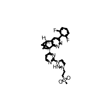 CC1(C)[C@H]2CC[C@]1(c1ccnc(N3C=CN(CCS(C)(=O)=O)N3)n1)c1nnc(-c3c(F)cccc3F)cc12